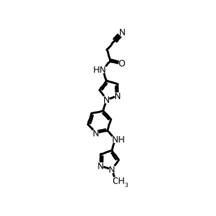 Cn1cc(Nc2cc(-n3cc(NC(=O)CC#N)cn3)ccn2)cn1